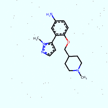 CN1CCC(COc2ccc(N)cc2-c2ccnn2C)CC1